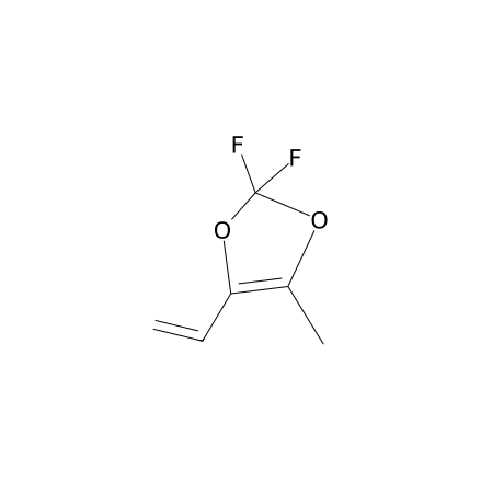 C=CC1=C(C)OC(F)(F)O1